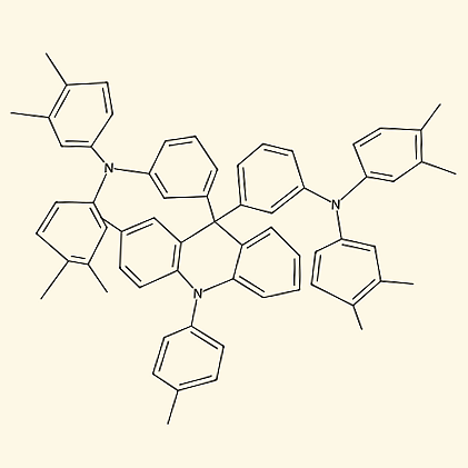 Cc1ccc(N2c3ccccc3C(c3cccc(N(c4ccc(C)c(C)c4)c4ccc(C)c(C)c4)c3)(c3cccc(N(c4ccc(C)c(C)c4)c4ccc(C)c(C)c4)c3)c3cc(C)ccc32)cc1